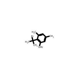 CCC(C)(C)c1c(C)cc(C)cc1OC(C)=O